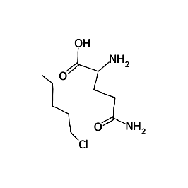 CCCCCCl.NC(=O)CCC(N)C(=O)O